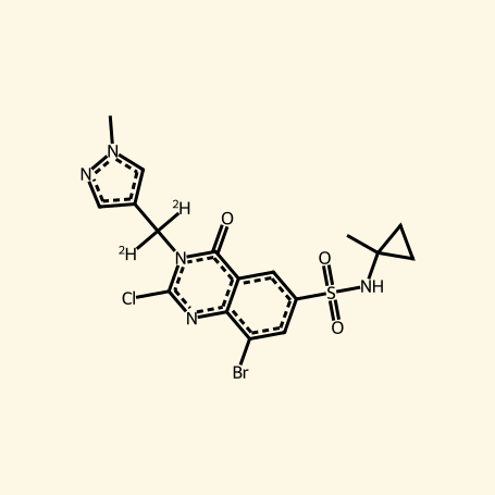 [2H]C([2H])(c1cnn(C)c1)n1c(Cl)nc2c(Br)cc(S(=O)(=O)NC3(C)CC3)cc2c1=O